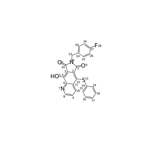 O=C1c2c(c(O)c3ncccc3c2Sc2ccccc2)C(=O)N1Cc1ccc(F)cc1